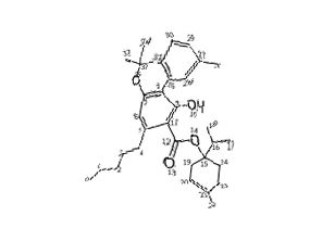 CCCCCc1cc2c(c(O)c1C(=O)OC1(C(C)C)CC=C(C)CC1)-c1cc(C)ccc1C(C)(C)O2